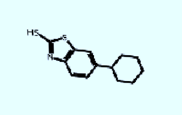 Sc1nc2ccc(C3CCCCC3)cc2s1